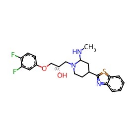 CNC1CC(c2nc3ccccc3s2)CCN1C[C@H](O)COc1ccc(F)c(F)c1